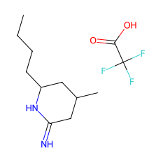 CCCCC1CC(C)CC(=N)N1.O=C(O)C(F)(F)F